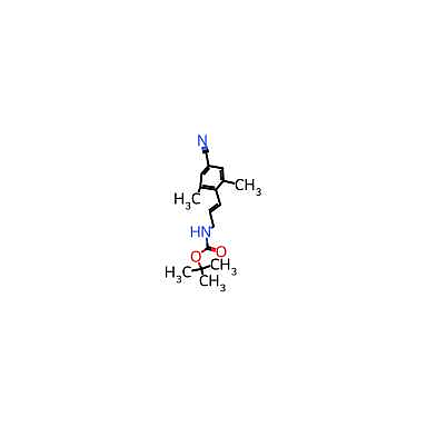 Cc1cc(C#N)cc(C)c1/C=C/CNC(=O)OC(C)(C)C